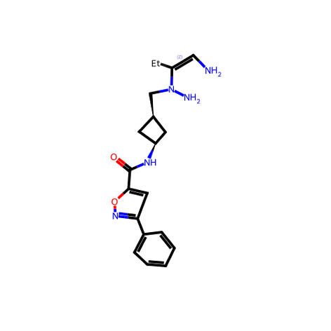 CC/C(=C/N)N(N)C[C@H]1C[C@@H](NC(=O)c2cc(-c3ccccc3)no2)C1